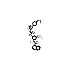 CN(C)CC1CCC([n+]2cc([N-]C(=O)Nc3cc(NC(=O)C4CCCc5ccccc54)cc(C(F)(F)F)c3)on2)CC1